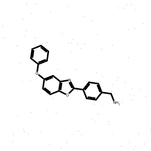 NCc1ccc(-c2nc3cc(Oc4ccccc4)ccc3o2)cc1